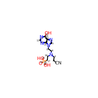 N#CCCN(CCn1cnc2c(O)ncnc21)CCP(=O)(O)O